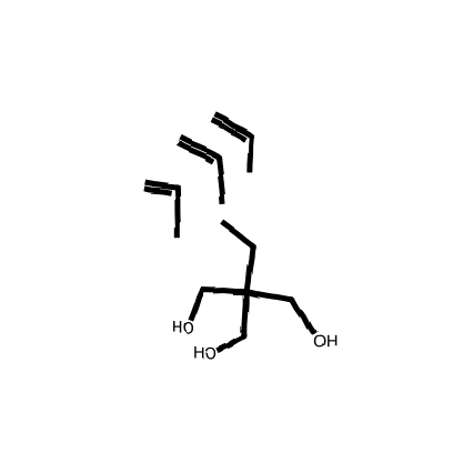 C=CC.C=CC.C=CC.CCC(CO)(CO)CO